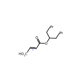 CC(C)CC(CC(C)C)OC(=O)/C=C/C(=O)O